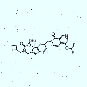 CC(C)(C)OC(=O)N(Cc1cc2ccc(Cn3ccc4c(OC(F)F)cncc4c3=O)cc2[nH]1)CC1CCC1